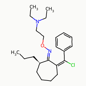 CCC[C@@H]1CCCCC(=C(\Cl)c2ccccc2)/C1=N/OCCN(CC)CC